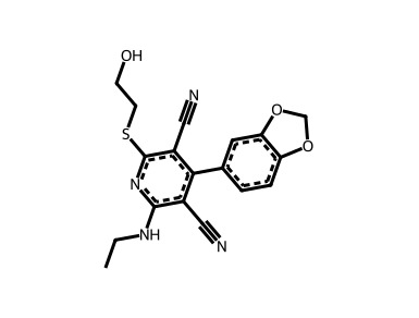 CCNc1nc(SCCO)c(C#N)c(-c2ccc3c(c2)OCO3)c1C#N